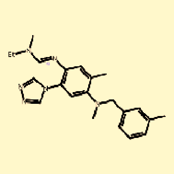 CCN(C)/C=N/c1cc(C)c(N(C)Cc2cccc(C)c2)cc1-n1cnnc1